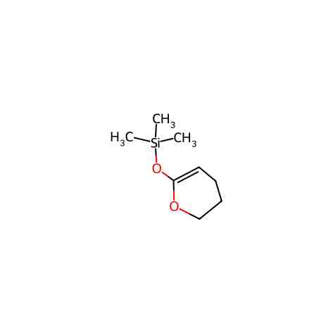 C[Si](C)(C)OC1=CCCCO1